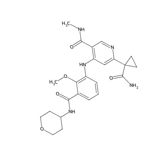 CNC(=O)c1cnc(C2(C(N)=O)CC2)cc1Nc1cccc(C(=O)NC2CCOCC2)c1OC